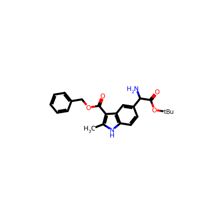 Cc1[nH]c2ccc(C(N)C(=O)OC(C)(C)C)cc2c1C(=O)OCc1ccccc1